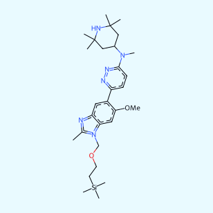 COc1cc2c(cc1-c1ccc(N(C)C3CC(C)(C)NC(C)(C)C3)nn1)nc(C)n2COCC[Si](C)(C)C